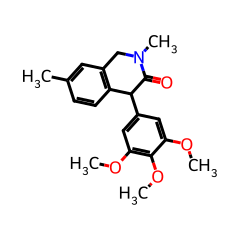 COc1cc(C2C(=O)N(C)Cc3cc(C)ccc32)cc(OC)c1OC